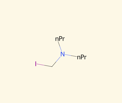 CCCN(CI)CCC